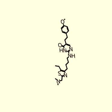 CCc1sc(CN(C)C)nc1CCCCNc1ncc(CCc2ccc(OC)cc2)c(=O)[nH]1